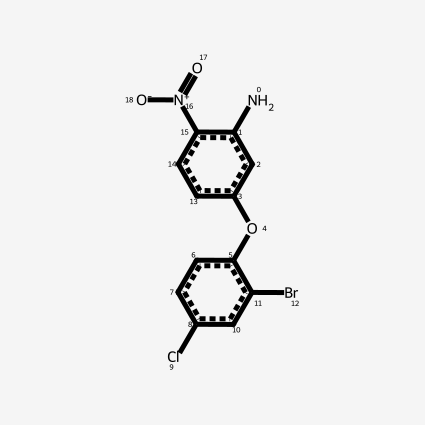 Nc1cc(Oc2ccc(Cl)cc2Br)ccc1[N+](=O)[O-]